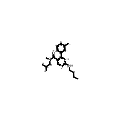 CCCCNc1ncc(C(=O)N(C)CC(C)C)c(-c2cccc(C)c2)n1